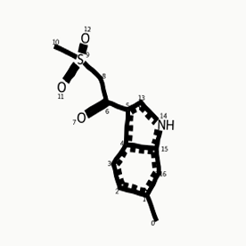 Cc1ccc2c(C(=O)CS(C)(=O)=O)c[nH]c2c1